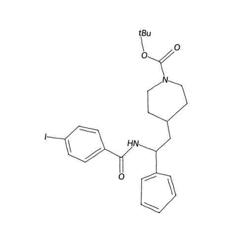 CC(C)(C)OC(=O)N1CCC(CC(NC(=O)c2ccc(I)cc2)c2ccccc2)CC1